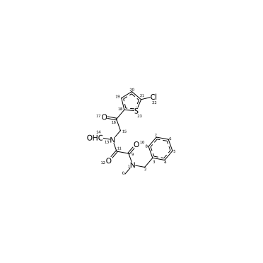 CN(Cc1ccccc1)C(=O)C(=O)N(C=O)CC(=O)c1ccc(Cl)s1